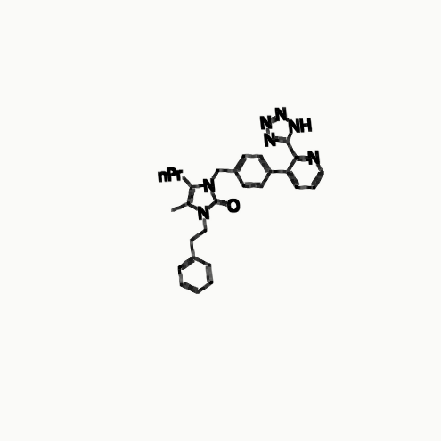 CCCc1c(C)n(CCc2ccccc2)c(=O)n1Cc1ccc(-c2cccnc2-c2nnn[nH]2)cc1